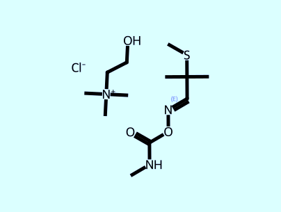 CNC(=O)O/N=C/C(C)(C)SC.C[N+](C)(C)CCO.[Cl-]